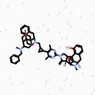 C=C1[C@H]2CC34CCC(C2C32CCN(C)[C@@H]4Cc3cccc(O)c32)N1c1nc(C)c(C2CC2CN2CCC34c5ccccc5CC2C32CCC(N(C)Cc3ccccc3)C4C[C@@H](C)C2)c(C)n1